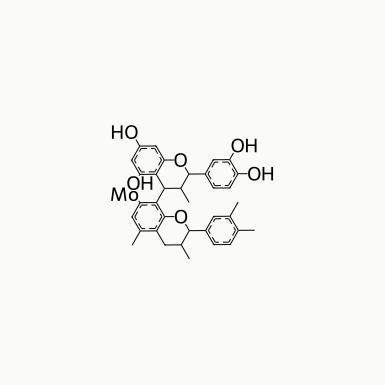 Cc1ccc(C2Oc3c(c(C)c[c]([Mo])c3C3c4c(O)cc(O)cc4OC(c4ccc(O)c(O)c4)C3C)CC2C)cc1C